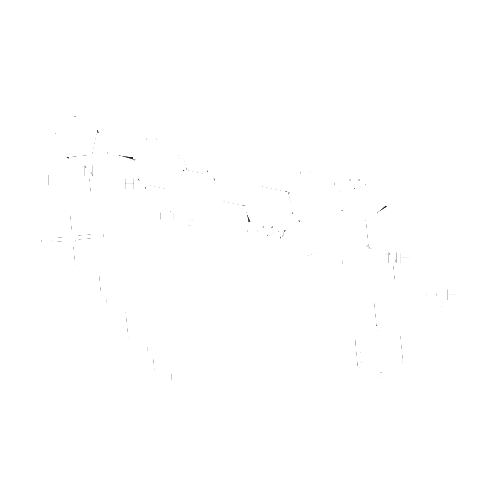 CCCOCCOCCS(=O)(=O)CCN1[C@H]2CCC(C2)[C@H]1C(=O)N[C@H](C(=O)N(C)[C@@H]([C@@H](C)CC)[C@@H](CC(=O)N1CCC[C@H]1[C@H](OC)[C@@H](C)C(=O)N[C@@H](Cc1ccccc1)C(=O)O)OC)C(C)C